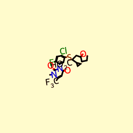 Cn1c(C(F)(F)F)cc(=O)n(-c2cc(SC(CC3CCCO3)(C(=O)O)C3CC3)c(Cl)cc2F)c1=O